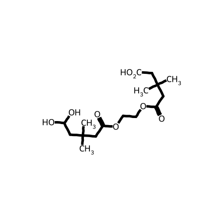 CC(C)(CC(=O)O)CC(=O)OCCOC(=O)CC(C)(C)CC(O)O